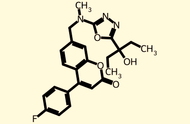 CCC(O)(CC)c1nnc(N(C)Cc2ccc3c(-c4ccc(F)cc4)cc(=O)oc3c2)o1